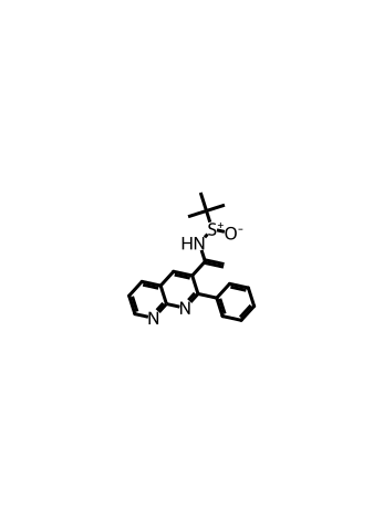 C=C(N[S+]([O-])C(C)(C)C)c1cc2cccnc2nc1-c1ccccc1